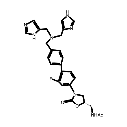 CC(=O)NC[C@H]1CN(c2ccc(-c3ccc(CN(Cc4c[nH]cn4)Cc4cnc[nH]4)cc3)c(F)c2)C(=O)O1